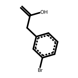 C=C(O)Cc1cccc(Br)c1